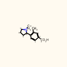 Cc1cc(C(=O)O)ccc1C1CCCN1C